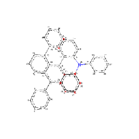 c1ccc(-c2c3ccccc3c(-c3ccccc3N(c3ccccc3)c3ccccc3)c3c(-c4ccccc4)cccc23)cc1